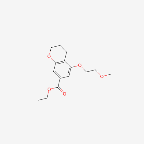 CCOC(=O)c1cc2c(c(OCCOC)c1)CCCO2